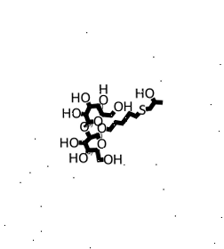 CC(O)CSCCCCCO[C@@H]1OC(CO)[C@@H](O)C(O)C1O[C@@H]1OC(CO)[C@@H](O)C(O)C1O